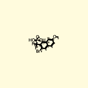 COc1ccc2cc(Br)c(C(F)(F)P(=O)(O)O)cc2c1